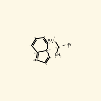 CC(C)[C@H](N)C(=O)O.c1ccn2ccnc2c1